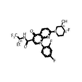 CC[C@@H](NC(=O)c1cn(-c2ccc(F)cc2F)c2nc(N3CC[C@@H](F)[C@H](O)C3)ccc2c1=O)C(F)(F)F